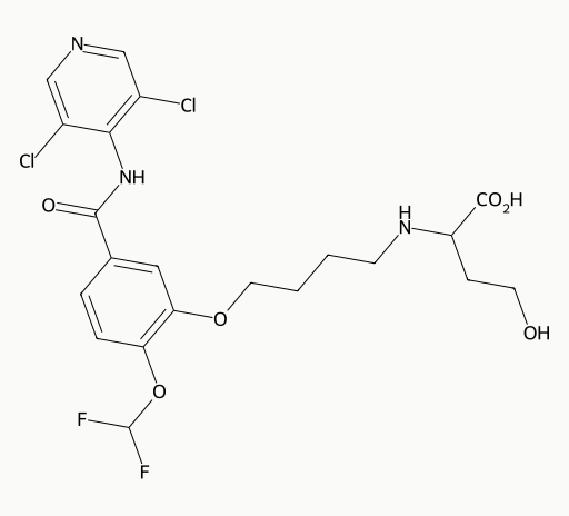 O=C(Nc1c(Cl)cncc1Cl)c1ccc(OC(F)F)c(OCCCCNC(CCO)C(=O)O)c1